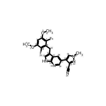 COc1cc(OC)c(F)c(Cc2c[nH]c3ncc(-c4cn(C)nc4C#N)cc23)c1F